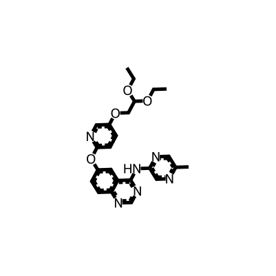 CCOC(COc1ccc(Oc2ccc3ncnc(Nc4cnc(C)cn4)c3c2)nc1)OCC